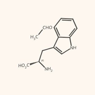 CC=O.N[C@H](Cc1c[nH]c2ccccc12)C(=O)O